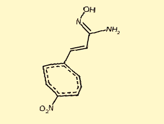 NC(C=Cc1ccc([N+](=O)[O-])cc1)=NO